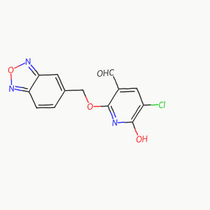 O=Cc1cc(Cl)c(O)nc1OCc1ccc2nonc2c1